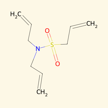 C=CCN(CC=C)S(=O)(=O)CC=C